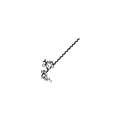 CCCCCCCC/C=C/CCCCCCCCCCCC(=O)OCC[C@@H](COC(=O)[C@@H](N)C(C)C)Cn1cnc2cnc(N)nc21